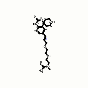 CN(CCOCCOC/C=C/c1cnc2c(c1)C1(CCNCC1)OC(=O)N2)C(=O)O